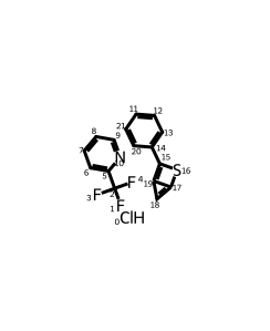 Cl.FC(F)(F)c1ccccn1.c1ccc(-c2sc3cc2-3)cc1